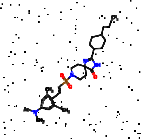 CC(=O)N(C)c1cc(C)c(C=CS(=O)(=O)N2CCC3(CC2)N=C(C2CCC(CCC(F)(F)F)CC2)NC3=O)c(C)c1